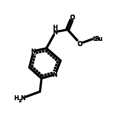 CC(C)(C)OC(=O)Nc1cnc(CN)cn1